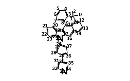 CC1(C)c2ccccc2-c2c3c1cccc3cc1c2c2ccccc2n1-c1ccc(-c2ccncc2)cc1